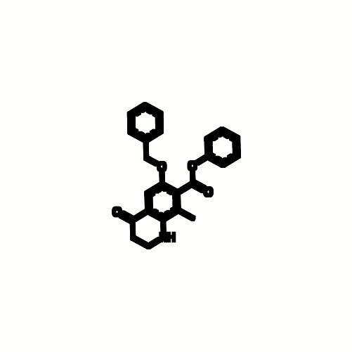 Cc1c2c(cc(OCc3ccccc3)c1C(=O)Oc1ccccc1)C(=O)CCN2